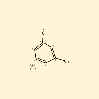 B.Clc1cccc(Cl)c1